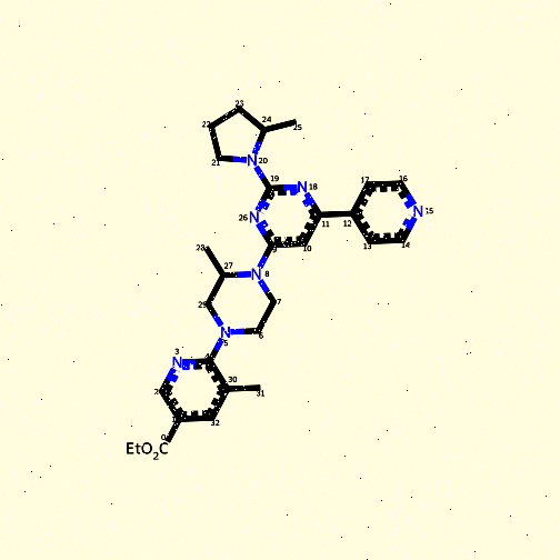 CCOC(=O)c1cnc(N2CCN(c3cc(-c4ccncc4)nc(N4CCCC4C)n3)C(C)C2)c(C)c1